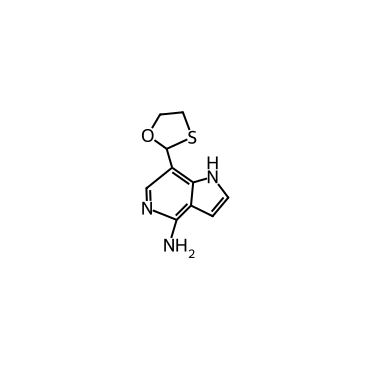 Nc1ncc(C2OCCS2)c2[nH]ccc12